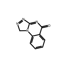 O=c1nc2n(c3ccccc13)CN=N2